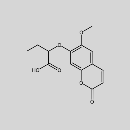 CCC(Oc1cc2oc(=O)ccc2cc1OC)C(=O)O